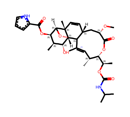 CO[C@H]1C[C@H]2C=C[C@]3(C)[C@H]4[C@H](O)[C@@H](C)[C@@H](OC(=O)c5ccc[nH]5)[C@@H]3O[C@@]24/C(C)=C/[C@@H](C)[C@@H]([C@@H](C)OC(=O)NC(C)C)OC1=O